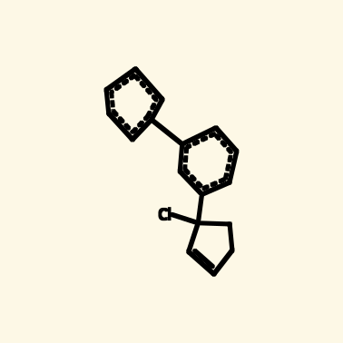 ClC1(c2cccc(-c3ccccc3)c2)C=CCC1